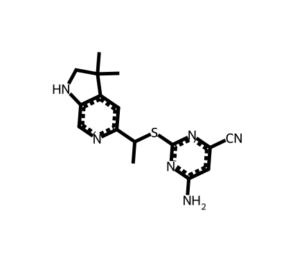 CC(Sc1nc(N)cc(C#N)n1)c1cc2c(cn1)NCC2(C)C